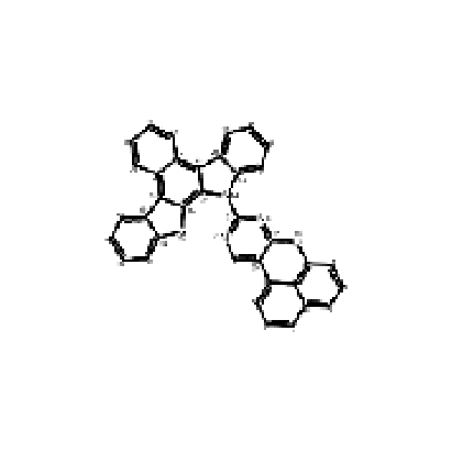 c1cc2c3c(cccc3c1)-c1cnc(-n3c4ccccc4c4c5ccccc5c5c6ccccc6sc5c43)nc1O2